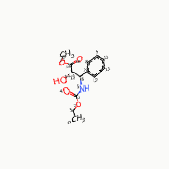 CCOC(=O)N[C@H](c1ccccc1)[C@H](O)C(=O)OC